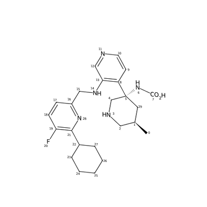 C[C@H]1CNC[C@@](NC(=O)O)(c2ccncc2NCc2ccc(F)c(C3CCCCC3)n2)C1